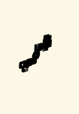 Cn1ncc2c(NCCN3CCC(Oc4ccc(Cl)c(Cl)c4)CC3)ncnc21